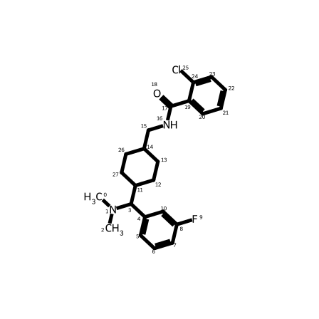 CN(C)C(c1cccc(F)c1)C1CCC(CNC(=O)c2ccccc2Cl)CC1